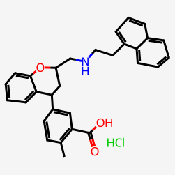 Cc1ccc(C2CC(CNCCc3cccc4ccccc34)Oc3ccccc32)cc1C(=O)O.Cl